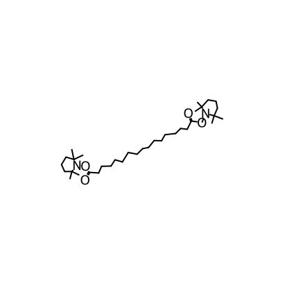 CC1(C)CCCC(C)(C)N1OC(=O)CCCCCCCCCCCCCCCC(=O)ON1C(C)(C)CCCC1(C)C